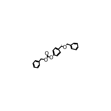 O=C(OCc1ccccc1)Oc1ccc([CH]OCc2ccccc2)cc1